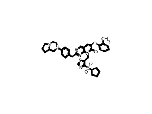 Cc1ccccc1Oc1cc2cnc(Cc3ccc(N4CCN5CCCC5C4)cc3)nc2n(Cc2scnc2S(=O)(=O)C2CCCC2)c1=O